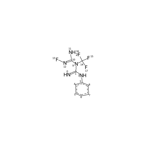 N=C(Nc1ccccc1)N(C(N)=NF)C(F)(F)F